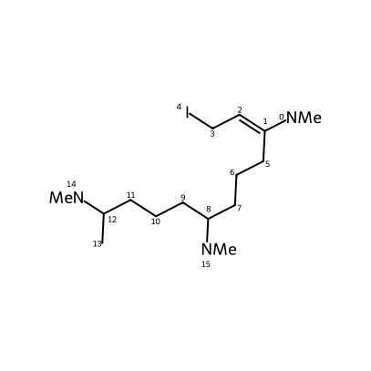 CNC(=CCI)CCCC(CCCC(C)NC)NC